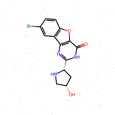 O=c1[nH]c([C@@H]2C[C@H](O)CN2)nc2c1oc1ccc(Br)cc12